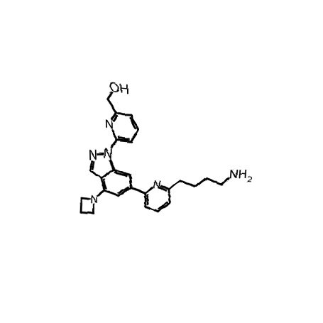 NCCCCc1cccc(-c2cc(N3CCC3)c3cnn(-c4cccc(CO)n4)c3c2)n1